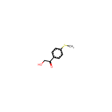 CSc1ccc(C(=O)CO)cc1